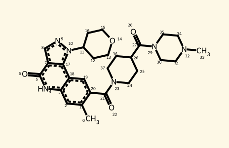 Cc1cc2[nH]c(=O)c3cnn(C4CCOCC4)c3c2cc1C(=O)N1CCC(C(=O)N2CCN(C)CC2)CC1